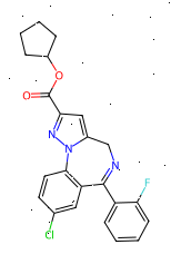 O=C(OC1CCCC1)c1cc2n(n1)-c1ccc(Cl)cc1C(c1ccccc1F)=NC2